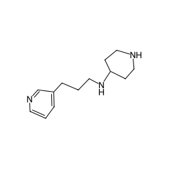 c1cncc(CCCNC2CCNCC2)c1